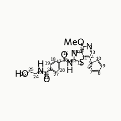 COc1ncc(-c2ccccc2)c2sc(NC(=O)c3ccc(C(=O)NCCO)cc3)nc12